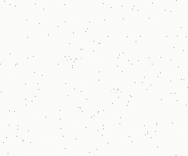 CCC1CCC1[Si](OC)(OC)C1CCC1C